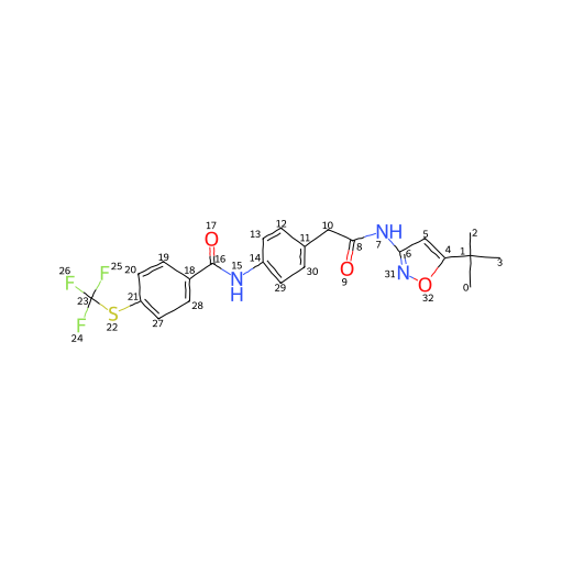 CC(C)(C)c1cc(NC(=O)Cc2ccc(NC(=O)c3ccc(SC(F)(F)F)cc3)cc2)no1